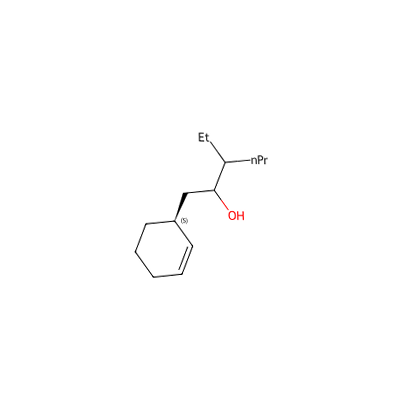 CCCC(CC)C(O)C[C@H]1C=CCCC1